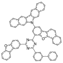 c1ccc(-c2cccc(-c3nc(-c4ccc5oc6ccccc6c5c4)nc(-c4cc(-n5c6cc7ccccc7cc6c6cc7ccccc7cc65)cc5c4oc4c6ccccc6ccc54)n3)c2)cc1